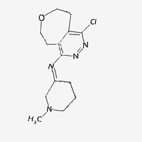 CN1CCC/C(=N\c2nnc(Cl)c3c2CCOCC3)C1